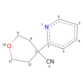 N#CC1(c2ccccn2)CCOCC1